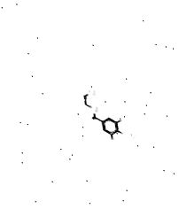 CCc1cc(C(=O)NC[C@@H](N)C(=O)O)cc(F)c1OC